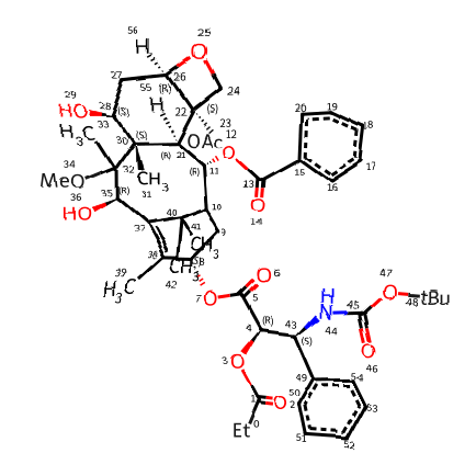 CCC(=O)O[C@@H](C(=O)O[C@H]1CC2[C@@H](OC(=O)c3ccccc3)[C@@H]3[C@]4(OC(C)=O)CO[C@@H]4C[C@H](O)[C@@]3(C)C(C)(OC)[C@H](O)C(=C1C)C2(C)C)[C@@H](NC(=O)OC(C)(C)C)c1ccccc1